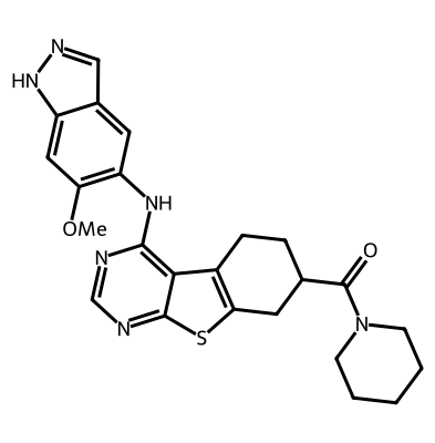 COc1cc2[nH]ncc2cc1Nc1ncnc2sc3c(c12)CCC(C(=O)N1CCCCC1)C3